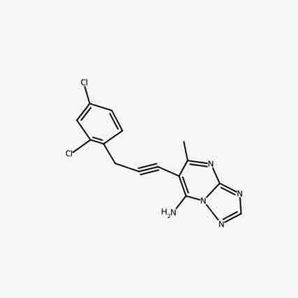 Cc1nc2ncnn2c(N)c1C#CCc1ccc(Cl)cc1Cl